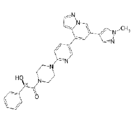 Cn1cc(-c2cc(-c3ccc(N4CCN(C(=O)[C@H](O)c5ccccc5)CC4)nc3)c3ccnn3c2)cn1